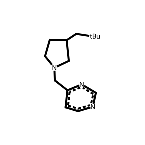 CC(C)(C)CC1CCN(Cc2ccncn2)C1